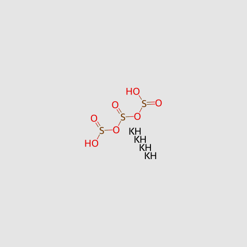 O=S(O)OS(=O)OS(=O)O.[KH].[KH].[KH].[KH]